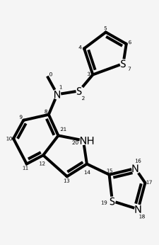 CN(Sc1cccs1)c1cccc2cc(-c3ncns3)[nH]c12